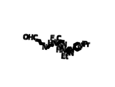 CCc1nn(C2CCN(C(C)C)CC2)cc1Nc1ncc(C(F)(F)F)c(NCCCN(C)CCCCC=O)n1